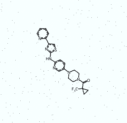 O=C(N1CCN(c2ccc(Nc3nc(-c4ccccn4)cs3)nc2)CC1)C1(C(F)(F)F)CC1